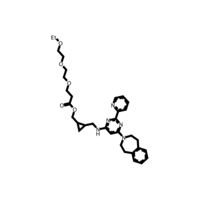 CCOCCOCCOCCC(=O)OCC1CC1CNc1cc(N2CCc3ccccc3CC2)nc(-c2ccccn2)n1